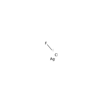 [Ag].[C].[C]F